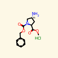 COC(=O)C1C[C@@H](N)CN1C(=O)OCc1ccccc1.Cl